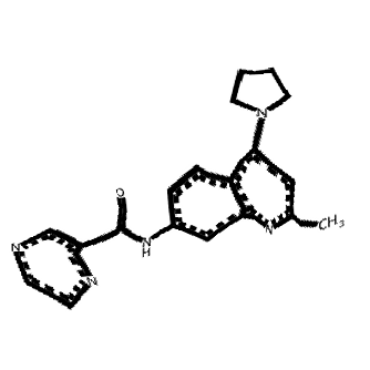 Cc1cc(N2CCCC2)c2ccc(NC(=O)c3cnccn3)cc2n1